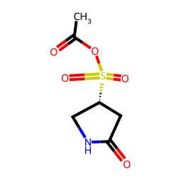 CC(=O)OS(=O)(=O)[C@H]1CNC(=O)C1